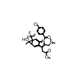 COC(=O)Cc1c(CN(C)C)n(C(=O)c2ccc(Cl)cc2)c2c1=CC1C(C)(O)C1(C(F)(F)F)C=2